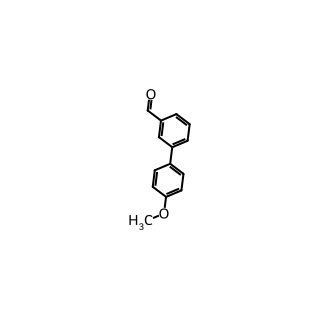 COc1ccc(-c2cccc(C=O)c2)cc1